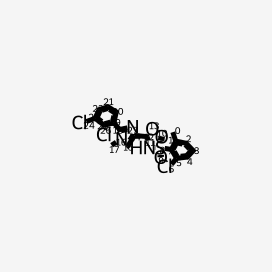 Cc1cccc(Cl)c1S(=O)(=O)NC(=O)c1cn(C)c(-c2cccc(Cl)c2Cl)n1